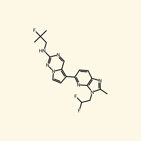 Cc1nc2ccc(-c3ccn4nc(NCC(C)(C)F)ncc34)nc2n1CC(F)F